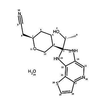 C[C@@H](O)C1([C@@H]2CC[C@H](CC#N)OC2)Nc2cnc3ccsc3c2N1.O